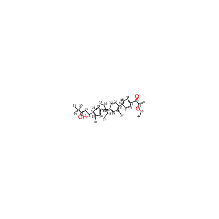 C=C(OCC)C(=O)c1ccc(-c2ccc(C(CC)(CC)c3ccc(CCC(O)C(C)(C)C)c(C)c3)cc2C)cc1